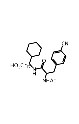 CC(=O)NC(Cc1ccc(C#N)cc1)C(=O)N[C@H](C(=O)O)C1CCCCC1